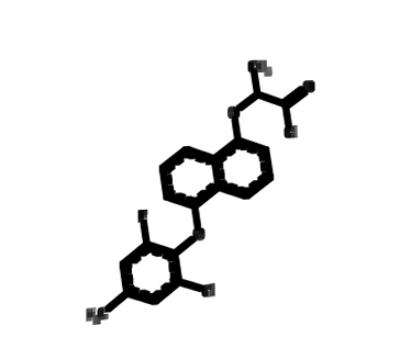 CC(Oc1cccc2c(Oc3c(F)cc(C(F)(F)F)cc3Cl)cccc12)C(=O)Cl